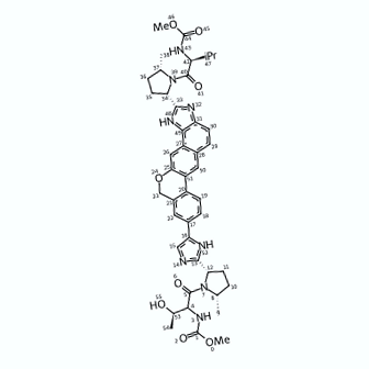 COC(=O)NC(C(=O)N1[C@@H](C)CC[C@H]1c1ncc(-c2ccc3c(c2)COc2cc4c(ccc5nc([C@@H]6CC[C@H](C)N6C(=O)[C@@H](NC(=O)OC)C(C)C)[nH]c54)cc2-3)[nH]1)[C@@H](C)O